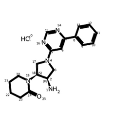 Cl.N[C@@H]1CN(c2cc(-c3ccccc3)ncn2)C[C@@H]1N1CCCCC1=O